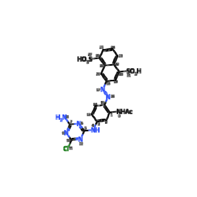 CC(=O)Nc1cc(Nc2nc(N)nc(Cl)n2)ccc1/N=N/c1cc(S(=O)(=O)O)c2cccc(S(=O)(=O)O)c2c1